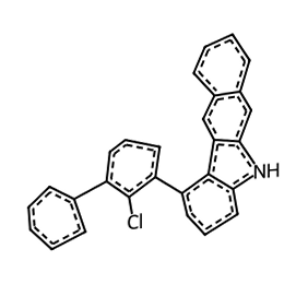 Clc1c(-c2ccccc2)cccc1-c1cccc2[nH]c3cc4ccccc4cc3c12